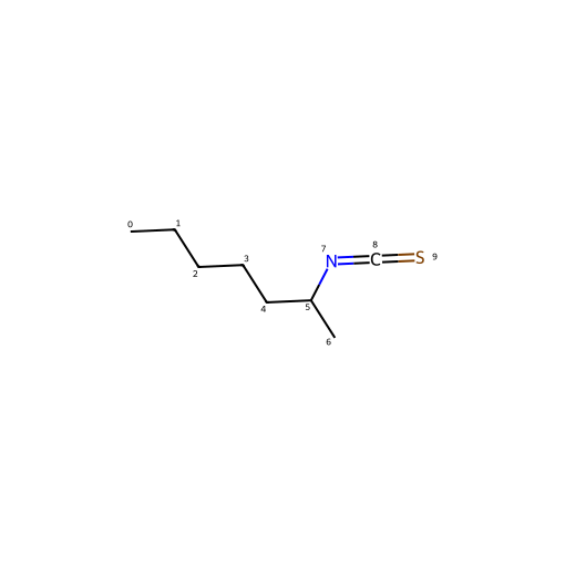 CCCCCC(C)N=C=S